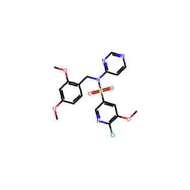 COc1ccc(CN(c2ccncn2)S(=O)(=O)c2cnc(Cl)c(OC)c2)c(OC)c1